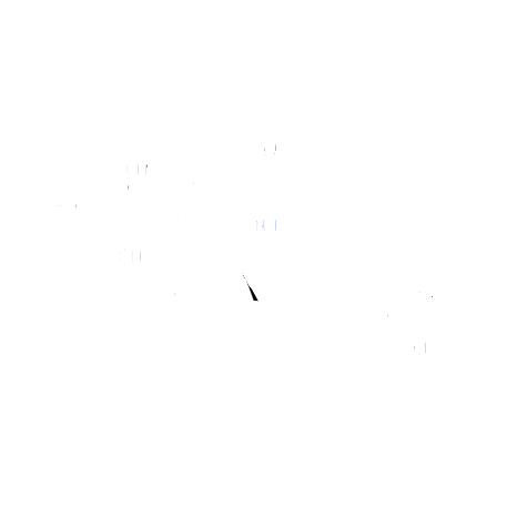 CC(=O)N[C@@H](CC1CCC(C)(C)CC1)C(=O)OC(C)(C)C